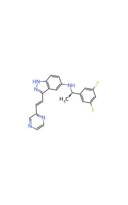 C[C@@H](Nc1ccc2[nH]nc(/C=C/c3cnccn3)c2c1)c1cc(F)cc(F)c1